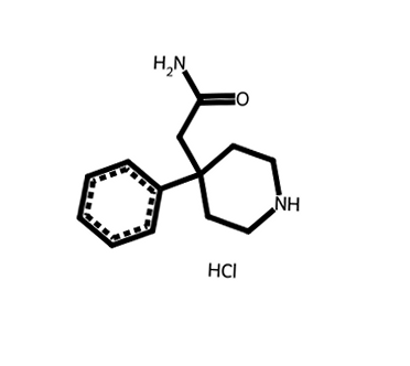 Cl.NC(=O)CC1(c2ccccc2)CCNCC1